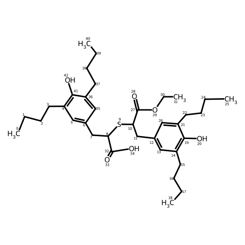 CCCCc1cc(CC(SC(Cc2cc(CCCC)c(O)c(CCCC)c2)C(=O)OCC)C(=O)O)cc(CCCC)c1O